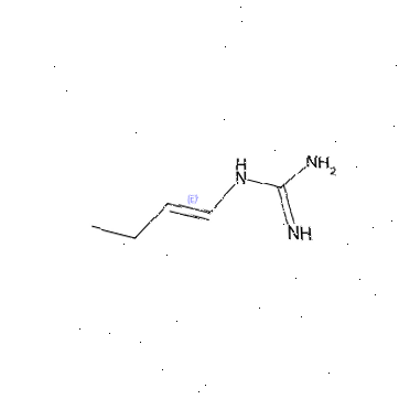 CC/C=C/NC(=N)N